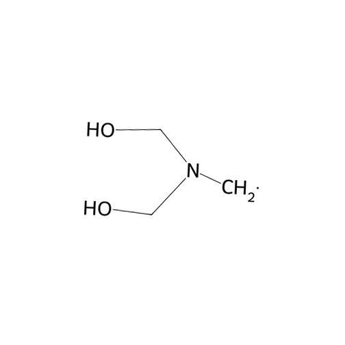 [CH2]N(CO)CO